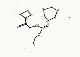 C=C(CO[Si](=CC1CCCCC1)OCC)C1CCC1